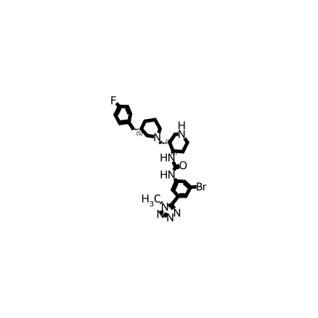 Cn1nnnc1-c1cc(Br)cc(NC(=O)N[C@@H]2CCNC[C@H]2CN2CCC[C@@H](Cc3ccc(F)cc3)C2)c1